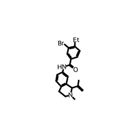 C=C(C)C1c2cc(NC(=O)c3ccc(CC)c(Br)c3)ccc2CCN1C